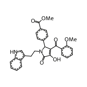 COC(=O)c1ccc(C2C(C(=O)c3ccccc3OC)=C(O)C(=O)N2CCc2c[nH]c3ccccc23)cc1